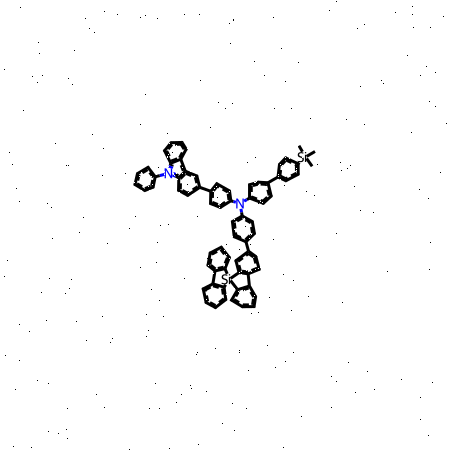 C[Si](C)(C)c1ccc(-c2ccc(N(c3ccc(-c4ccc5c(c4)[Si]4(c6ccccc6-c6ccccc64)c4ccccc4-5)cc3)c3ccc(-c4ccc5c(c4)c4ccccc4n5-c4ccccc4)cc3)cc2)cc1